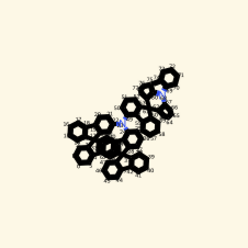 c1ccc2c(c1)-c1ccccc1C21c2ccccc2-c2ccc(N(c3cccc4c3-c3ccccc3C43c4ccccc4-c4ccccc43)c3cccc4c3-c3ccccc3C43c4ccccc4-n4c5ccccc5c5cccc3c54)cc21